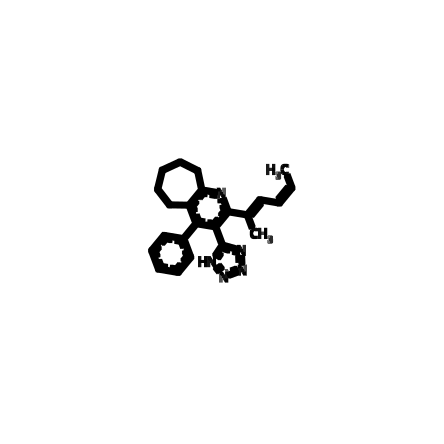 C/C=C\C=C(/C)c1nc2c(c(-c3ccccc3)c1-c1nnn[nH]1)CCCCC2